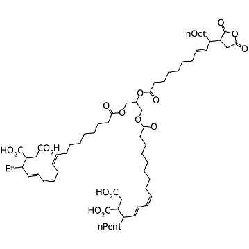 CCCCCCCCC(/C=C/CCCCCCC(=O)OC(COC(=O)CCCCCCC/C=C\C=C\C(CCCCC)C(CC(=O)O)C(=O)O)COC(=O)CCCCCCC/C=C\C/C=C\C=C\C(CC)C(CC(=O)O)C(=O)O)C1CC(=O)OC1=O